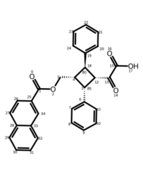 O=C(OC[C@H]1[C@@H](c2ccccc2)[C@@H](C(=O)C(=O)O)[C@@H]1c1ccccc1)c1ccc2ccccc2c1